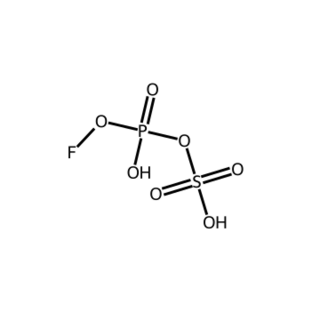 O=P(O)(OF)OS(=O)(=O)O